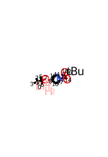 BC(C)(C)C(C)(C)OBC1=CCN(C(=O)OC(C)(C)C)CC1